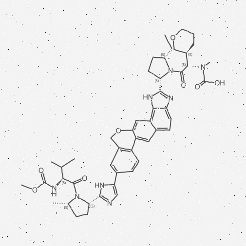 CC[C@H]1CC[C@@H](c2nc3ccc4cc5c(cc4c3[nH]2)OCc2cc(-c3cnc([C@@H]4CC[C@H](C)N4C(=O)[C@@H](NC(=O)OC)C(C)C)[nH]3)ccc2-5)N1C(=O)[C@H]([C@@H]1CCCOC1)N(C)C(=O)O